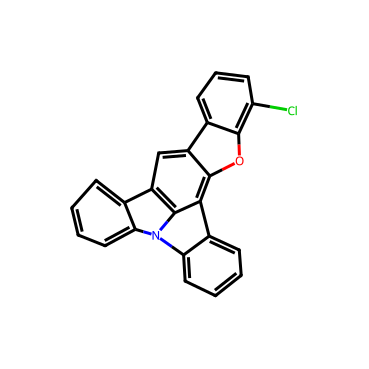 Clc1cccc2c1oc1c2cc2c3ccccc3n3c4ccccc4c1c23